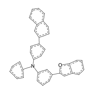 c1ccc(N(c2ccc(-c3ccc4ccccc4c3)cc2)c2cccc(-c3cc4ccccc4o3)c2)cc1